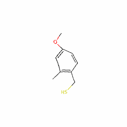 COc1ccc(CS)c(C)c1